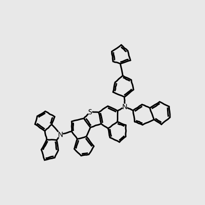 c1ccc(-c2ccc(N(c3ccc4ccccc4c3)c3cc4sc5cc(-n6c7ccccc7c7ccccc76)c6ccccc6c5c4c4ccccc34)cc2)cc1